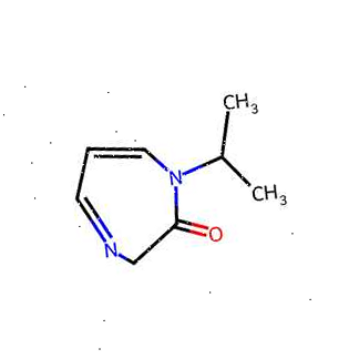 CC(C)N1C=CC=NCC1=O